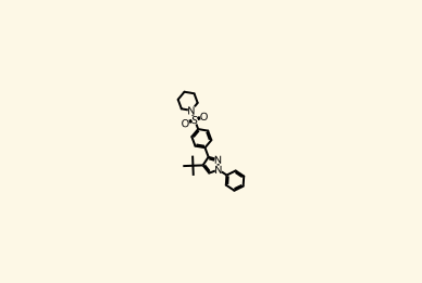 CC(C)(C)c1cn(-c2ccccc2)nc1-c1ccc(S(=O)(=O)N2CCCCC2)cc1